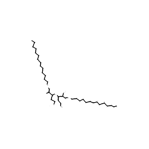 CCCCCCCCCCCCCCOCC(O)C(CCO)SC(CCO)C(O)COCCCCCCCCCCCCCC